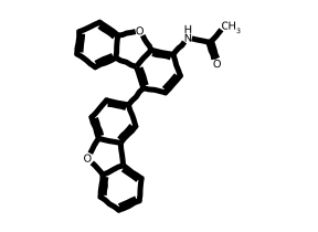 CC(=O)Nc1ccc(-c2ccc3oc4ccccc4c3c2)c2c1oc1ccccc12